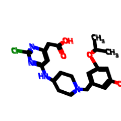 CC(C)Oc1cc(O)cc(CN2CCC(Nc3cc(CC(=O)O)nc(Cl)n3)CC2)c1